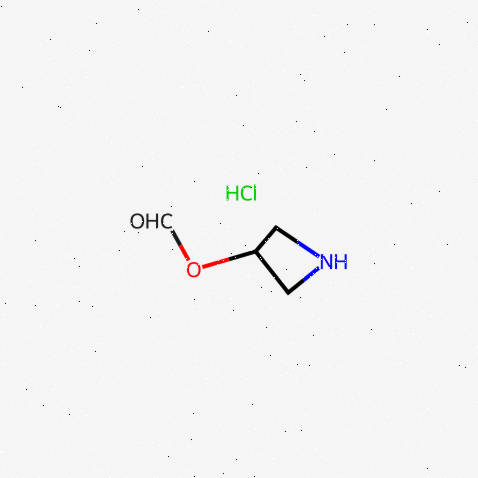 Cl.O=COC1CNC1